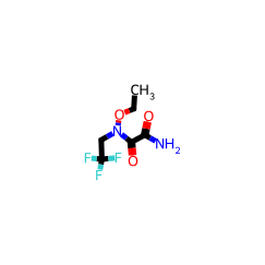 CCON(CC(F)(F)F)C(=O)C(N)=O